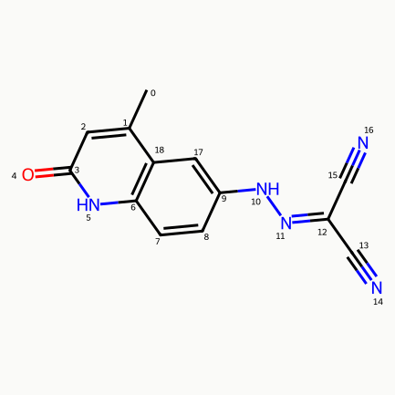 Cc1cc(=O)[nH]c2ccc(NN=C(C#N)C#N)cc12